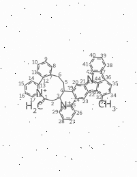 C=C1CC2C(CCc3ccccc3-c3cccc[n+]31)c1cc3c(cc1-c1cccc[n+]12)c1c(C)ccc2c4ccccc4n3c21